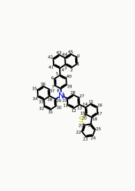 c1ccc2c(-c3ccc(N(c4ccc(-c5cccc6c5sc5ccccc56)cc4)c4cccc5ccccc45)cc3)cccc2c1